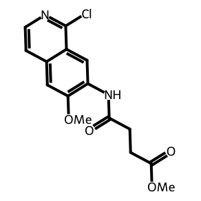 COC(=O)CCC(=O)Nc1cc2c(Cl)nccc2cc1OC